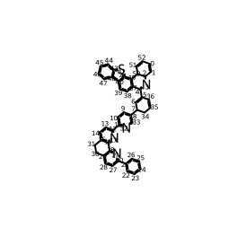 C1=CC2N=C(C3=CC(c4ccc(-c5ccc6c(n5)-c5nc(-c7ccccc7)ccc5CC6)nc4)CC=C3)c3ccc4c(sc5ccccc54)c3C2C=C1